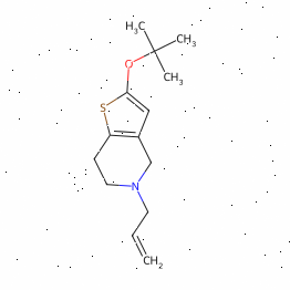 C=CCN1CCc2sc(OC(C)(C)C)cc2C1